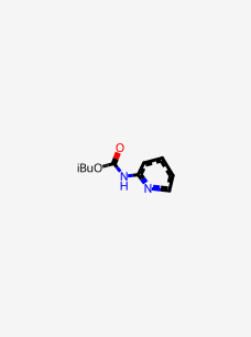 CC(C)COC(=O)Nc1ccccn1